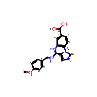 COc1ccc(CNC2Nc3cc(C(=O)O)ccc3-n3cncc32)cc1